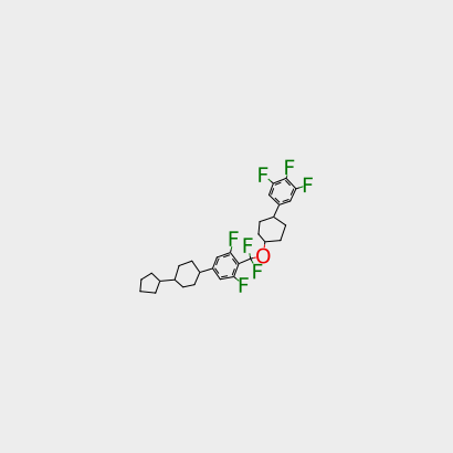 Fc1cc(C2CCC(OC(F)(F)c3c(F)cc(C4CCC(C5CCCC5)CC4)cc3F)CC2)cc(F)c1F